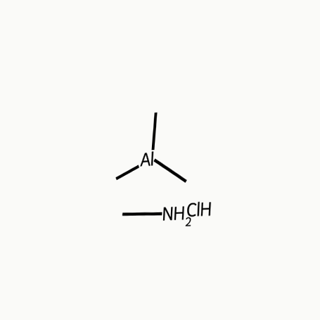 CN.Cl.[CH3][Al]([CH3])[CH3]